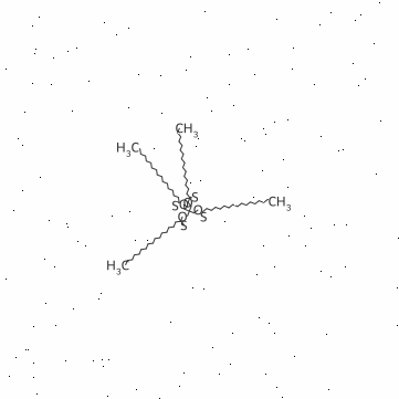 CCCCCCCCCCCCCCCCC(=S)OCC(COC(=S)CCCCCCCCCCCCCCCC)(COC(=S)CCCCCCCCCCCCCCCC)COC(=S)CCCCCCCCCCCCCCCC